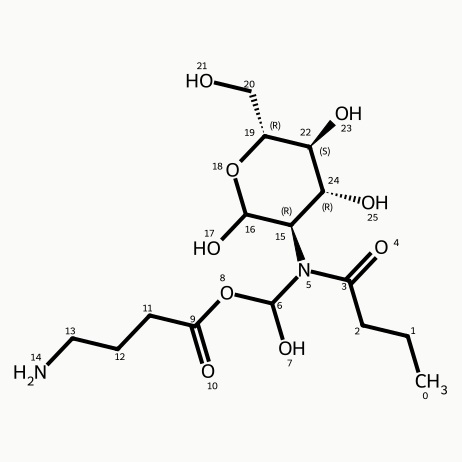 CCCC(=O)N(C(O)OC(=O)CCCN)[C@H]1C(O)O[C@H](CO)[C@@H](O)[C@@H]1O